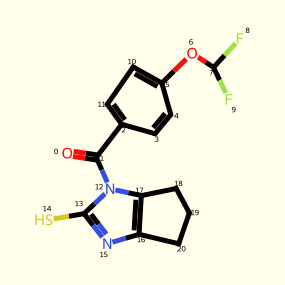 O=C(c1ccc(OC(F)F)cc1)n1c(S)nc2c1CCC2